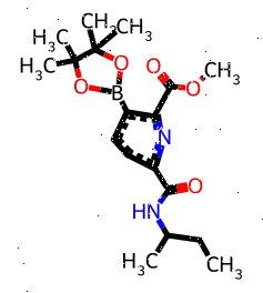 CCC(C)NC(=O)c1ccc(B2OC(C)(C)C(C)(C)O2)c(C(=O)OC)n1